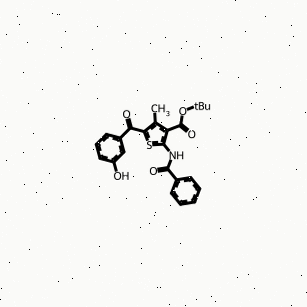 Cc1c(C(=O)c2cccc(O)c2)sc(NC(=O)c2ccccc2)c1C(=O)OC(C)(C)C